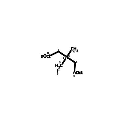 CCCCCCCCC[N+](C)(C)CCCCCCCCC.[I-]